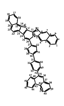 c1ccc2cc3c(cc2c1)nc1c2sc4c5ccccc5ccc4c2cc(-c2ccc(-c4ccc(-c5cc6cccnc6c6ccccc56)cc4)cc2)n31